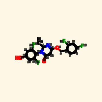 Cc1nc(OCc2ccc(F)cc2F)cc(=O)n1-c1c(F)cc(O)cc1F